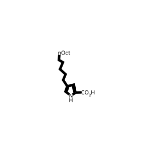 CCCCCCCCCCCCCc1c[nH]c(C(=O)O)c1